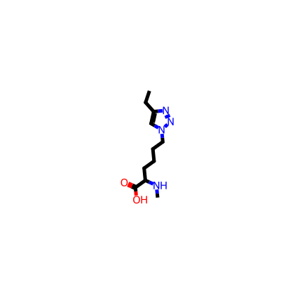 CCc1cn(CCCCC(NC)C(=O)O)nn1